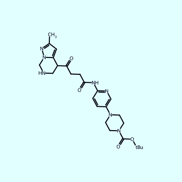 Cc1cc2n(n1)CNCC2C(=O)CCC(=O)Nc1ccc(N2CCN(C(=O)OC(C)(C)C)CC2)cn1